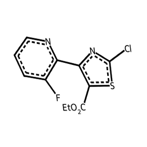 CCOC(=O)c1sc(Cl)nc1-c1ncccc1F